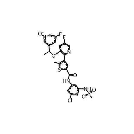 Cc1sc(C(=O)Nc2cc(Cl)cc(NS(C)(=O)=O)c2)cc1-c1ncc(F)cc1O[C@@H](C)c1cc(F)c[n+]([O-])c1